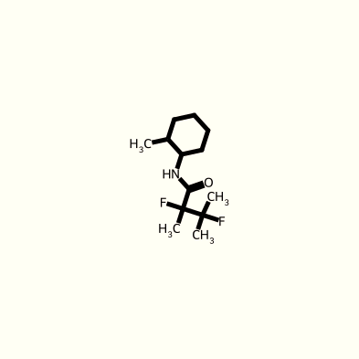 CC1CCCCC1NC(=O)C(C)(F)C(C)(C)F